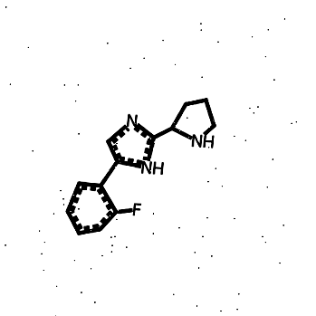 Fc1ccccc1-c1cnc(C2CCCN2)[nH]1